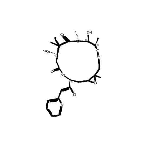 C[C@H]1CCCC2(C)OC2C[C@@H](C(Cl)=Cc2ccccn2)NC(=O)C[C@H](O)C(C)(C)C(=O)[C@H](C)[C@H]1O